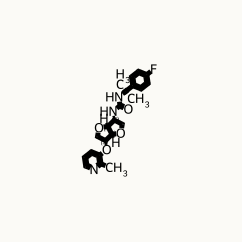 Cc1ncccc1O[C@H]1CO[C@H]2[C@@H]1OC[C@@H]2NC(=O)NC(C)(C)c1ccc(F)cc1